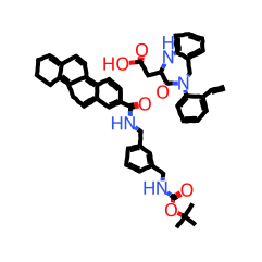 C=Cc1ccccc1N1Cc2ccccc2NC(CC(=O)O)C1=O.CC(C)(C)OC(=O)NCc1cccc(CNC(=O)c2ccc3c(c2)=CCc2c4c(ccc2=3)=CCCC4)c1